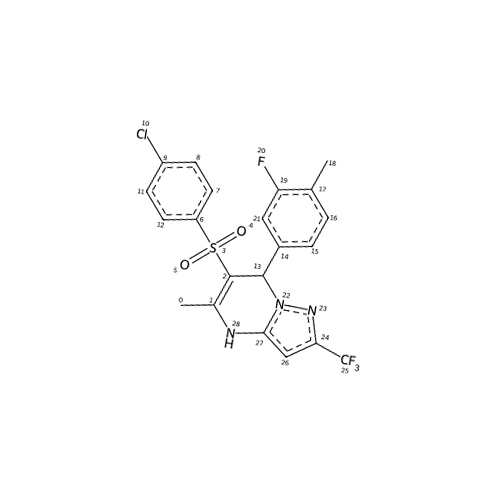 CC1=C(S(=O)(=O)c2ccc(Cl)cc2)C(c2ccc(C)c(F)c2)n2nc(C(F)(F)F)cc2N1